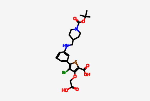 CC(C)(C)OC(=O)N1CCC(CNc2cccc(-c3sc(C(=O)O)c(OCC(=O)O)c3Br)c2)CC1